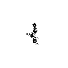 Cc1ccc(CN(C)C(=O)c2cnn(C)c2C(=O)Nc2ccn3nc(-c4ccccc4)nc3c2)cn1